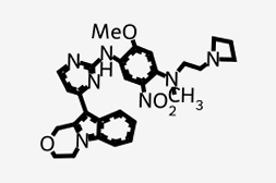 COc1cc(N(C)CCN2CCC2)c([N+](=O)[O-])cc1Nc1nccc(-c2c3n(c4ccccc24)CCOC3)n1